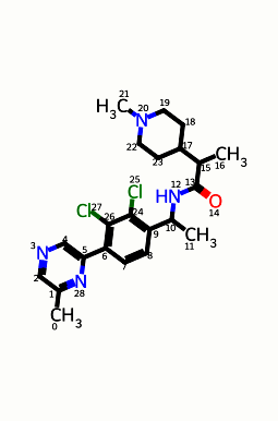 Cc1cncc(-c2ccc(C(C)NC(=O)C(C)C3CCN(C)CC3)c(Cl)c2Cl)n1